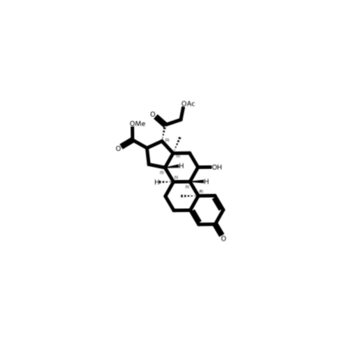 COC(=O)C1C[C@H]2[C@@H]3CCC4=CC(=O)C=C[C@]4(C)[C@H]3C(O)C[C@]2(C)[C@H]1C(=O)COC(C)=O